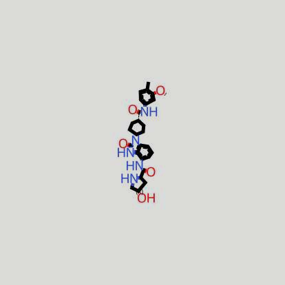 COc1cc(NC(=O)[C@H]2CC[C@@H](n3c(=O)[nH]c4c(NC(=O)C5C[C@@H](O)CN5)cccc43)CC2)ccc1C